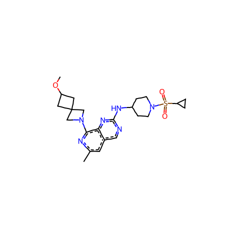 COC1CC2(C1)CN(c1nc(C)cc3cnc(NC4CCN(S(=O)(=O)C5CC5)CC4)nc13)C2